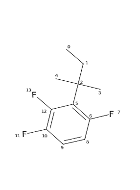 CCC(C)(C)c1c(F)ccc(F)c1F